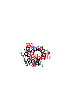 CC[C@H]1OC(=O)[C@H](C)[C@@H](O[C@H]2C[C@@](C)(OC)[C@@H](O)[C@H](C)O2)C(C)[C@@H](O[C@@H]2O[C@H](C)C[C@H](N(C)C)[C@H]2O)[C@](C)(OC)C[C@@H](C)C(=O)[C@H](C)[C@@H](O)[C@]1(C)O.NC(=O)c1ccccc1O